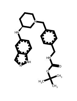 CC(C)(C)OC(=O)NCc1ccc(CN2CCC[C@H](Nc3ccc4[nH]ncc4c3)C2)cc1